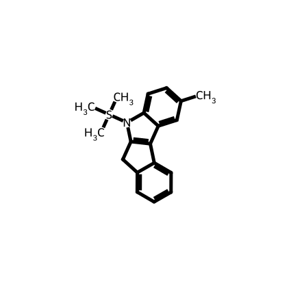 Cc1ccc2c(c1)c1c(n2S(C)(C)C)Cc2ccccc2-1